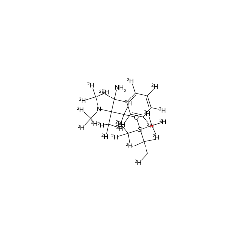 [2H]CC(C)(C)[Si](OC([2H])([2H])C(N(C([2H])([2H])[2H])C([2H])([2H])[2H])(C([2H])([2H])[2H])C([2H])(N)c1c([2H])c([2H])c([2H])c([2H])c1[2H])(C([2H])([2H])[2H])C([2H])([2H])[2H]